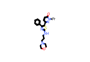 CC(C)n1nc(-c2sc(NCCCN3CCOCC3)nc2-c2ccccc2)ccc1=O